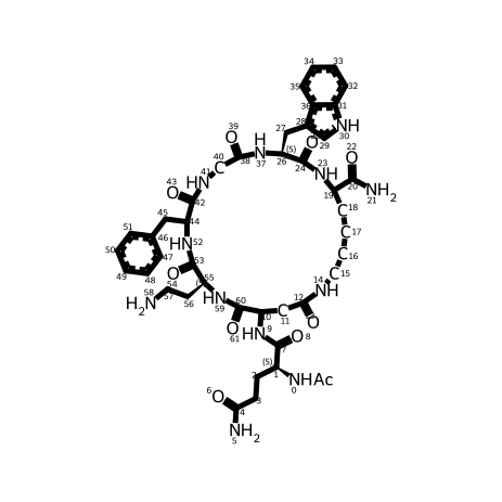 CC(=O)N[C@@H](CCC(N)=O)C(=O)NC1CC(=O)NCCCCC(C(N)=O)NC(=O)[C@H](Cc2c[nH]c3ccccc23)NC(=O)CNC(=O)C(Cc2ccccc2)NC(=O)[C@H](CCN)NC1=O